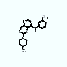 Cc1cccc(Nc2ncnc3cnc(N4CCC(C#N)CC4)nc23)c1